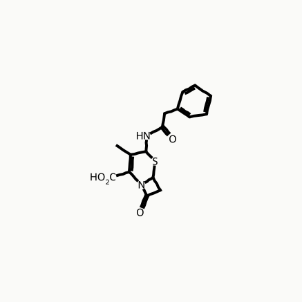 CC1=C(C(=O)O)N2C(=O)CC2SC1NC(=O)Cc1ccccc1